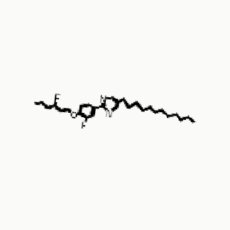 CCCCCCCCCCCCc1cnc(-c2ccc(OCCC(F)CCC)c(F)c2)nc1